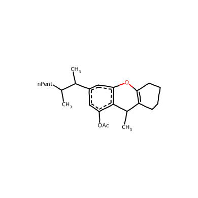 CCCCCC(C)C(C)c1cc(OC(C)=O)c2c(c1)OC1=C(CCCC1)C2C